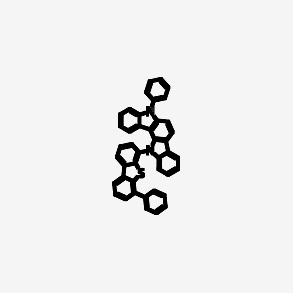 c1ccc(-c2cccc3c2sc2c(-n4c5ccccc5c5ccc6c(c7ccccc7n6-c6ccccc6)c54)cccc23)cc1